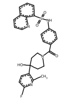 Cc1nc(F)ccc1C1(O)CCN(C(=O)c2ccc(NS(=O)(=O)c3cccc4cccnc34)cc2)CC1